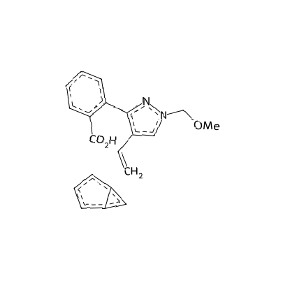 C=Cc1cn(COC)nc1-c1ccccc1C(=O)O.c1cc2cc-2c1